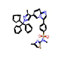 Cc1csc(N(C)S(=O)(=O)c2ccc(-c3cnc4ccc(-c5cn(C(c6ccccc6)(c6ccccc6)C6C=CC=CC6)nc5C)cn34)cc2)n1